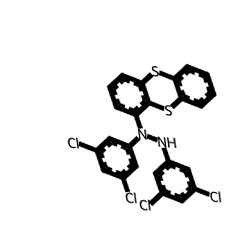 Clc1cc(Cl)cc(NN(c2cc(Cl)cc(Cl)c2)c2cccc3c2Sc2ccccc2S3)c1